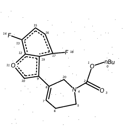 CCCCOC(=O)N1CCC=C(c2coc3c(F)ccc(F)c23)C1